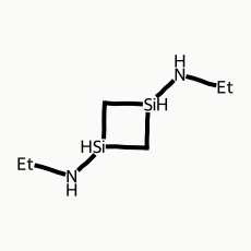 CCN[SiH]1C[SiH](NCC)C1